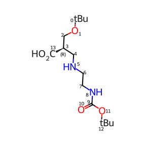 CC(C)(C)OC[C@@H](CNCCNC(=O)OC(C)(C)C)C(=O)O